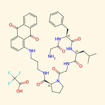 CC(C)C[C@H](NC(=O)[C@H](Cc1ccccc1)NC(=O)CN)C(=O)NCC(=O)N1CCC[C@H]1C(=O)NCCCNc1cccc2c1C(=O)c1ccccc1C2=O.O=C(O)C(F)(F)F